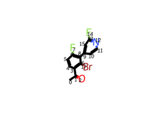 CC(=O)c1ccc(F)c(-c2ccnc(F)c2)c1Br